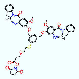 COc1cc2c(cc1OCc1cc(COc3cc4c(cc3OC)C(=O)N3c5ccccc5C[C@H]3C=N4)cc(SCCOCCC(=O)ON3C(=O)CCC3=O)c1)N=C[C@@H]1Cc3ccccc3N1C2=O